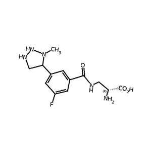 CN1NNCC1c1cc(F)cc(C(=O)NC[C@@H](N)C(=O)O)c1